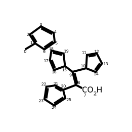 Cc1ccccc1.O=C(O)C(=C(C1C=CC=C1)C1C=CC=C1)c1ccccc1